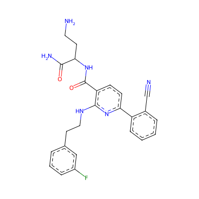 N#Cc1ccccc1-c1ccc(C(=O)NC(CCN)C(N)=O)c(NCCc2cccc(F)c2)n1